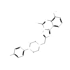 COc1cccc2c1nc(N)n1nc(CN3CCN(c4ccc(F)cc4)CC3)nc21